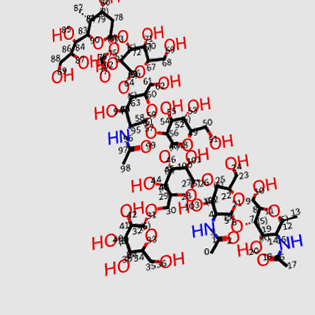 CC(=O)NC1[C@H](O[C@@H]2C(CO)O[C@@H](C)C(NC(C)=O)[C@H]2O)OC(CO)[C@@H](O[C@@H]2OC(CO[C@H]3OC(CO)[C@@H](O)[C@H](O)C3O)[C@@H](O)[C@H](O[C@H]3OC(CO)[C@@H](O)C(O)C3O[C@@H]3OC(CO)[C@@H](O[C@@H]4OC(CO)[C@H](O)[C@H](O[C@]5(OC=O)C[C@@H](O)[C@@H](C)C(C(O)C(O)CO)O5)C4O)[C@H](O)C3NC(C)=O)C2O)[C@@H]1O